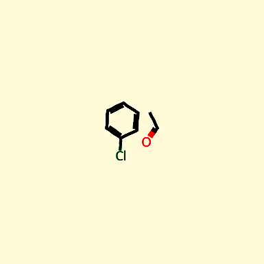 CC=O.Clc1ccccc1